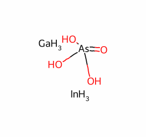 O=[As](O)(O)O.[GaH3].[InH3]